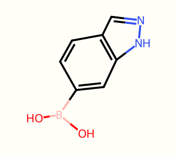 OB(O)c1ccc2cn[nH]c2c1